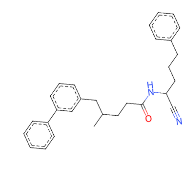 CC(CCC(=O)NC(C#N)CCCc1ccccc1)Cc1cccc(-c2ccccc2)c1